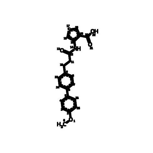 COc1ccc(-c2ccc(CCC(=O)Nc3cscc3C(=O)O)cc2)cc1